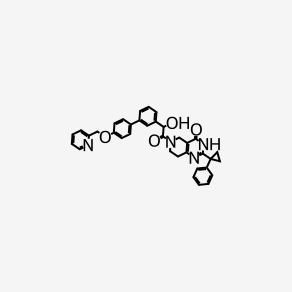 O=C(C(O)c1cccc(-c2ccc(OCc3ccccn3)cc2)c1)N1CCc2nc(C3(c4ccccc4)CC3)[nH]c(=O)c2C1